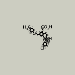 Cc1ccc(OCCc2cc(CCC(=O)O)c3c(c2)CC(NS(=O)(=O)c2ccc(Cl)cc2)CC3)cc1